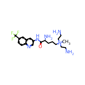 C[N+](CCN)(CCN)CCC[C@H](N)C(=O)Nc1cnc2ccc(C(F)(F)F)cc2c1